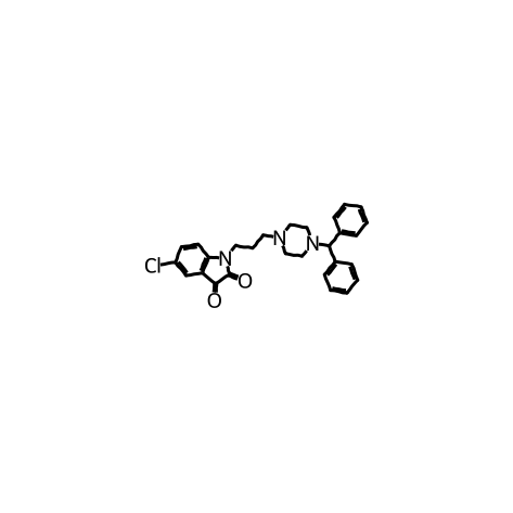 O=C1C(=O)N(CCCN2CCN(C(c3ccccc3)c3ccccc3)CC2)c2ccc(Cl)cc21